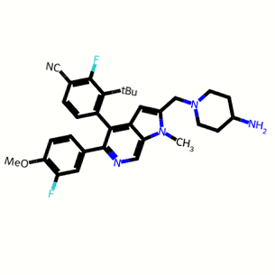 COc1ccc(-c2ncc3c(cc(CN4CCC(N)CC4)n3C)c2-c2ccc(C#N)c(F)c2C(C)(C)C)cc1F